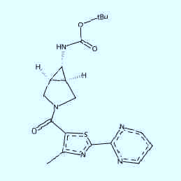 Cc1nc(-c2ncccn2)sc1C(=O)N1C[C@@H]2[C@H](C1)[C@H]2NC(=O)OC(C)(C)C